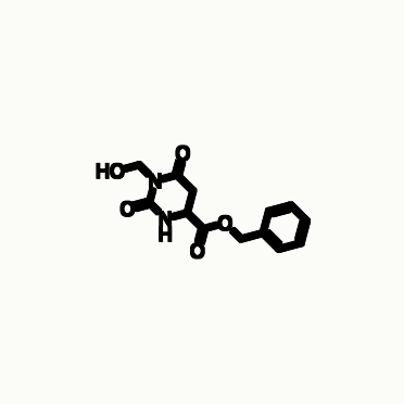 O=C(OCc1ccccc1)C1CC(=O)N(CO)C(=O)N1